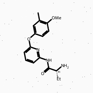 CC[C@@H](N)C(=O)Nc1cccc(Oc2ccc(OC)c(C)c2)n1